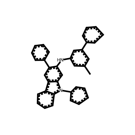 Cc1cc(Nc2cc3c(cc2-c2ccccc2)c2ccccc2n3-c2ccccc2)cc(-c2ccccc2)c1